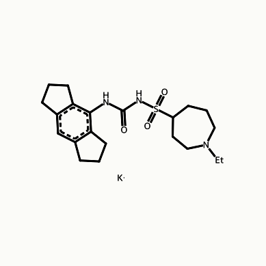 CCN1CCCC(S(=O)(=O)NC(=O)Nc2c3c(cc4c2CCC4)CCC3)CC1.[K]